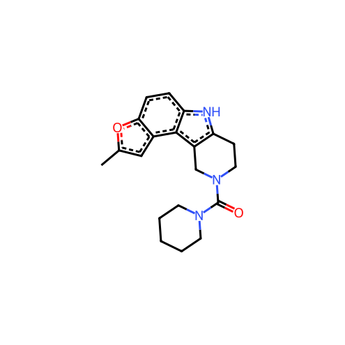 Cc1cc2c(ccc3[nH]c4c(c32)CN(C(=O)N2CCCCC2)CC4)o1